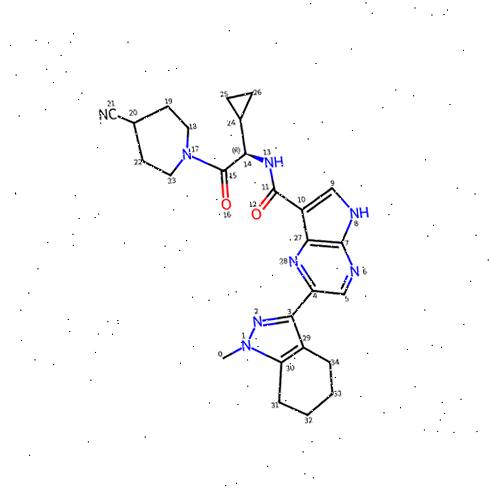 Cn1nc(-c2cnc3[nH]cc(C(=O)N[C@@H](C(=O)N4CCC(C#N)CC4)C4CC4)c3n2)c2c1CCCC2